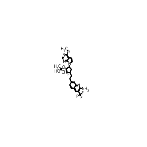 COc1ncnc2c1ccn2C1CC(CCc2ccc3cc(C(F)(F)F)c(N)nc3c2)C[C@H]1OC(C)(C)O